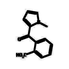 Cn1cccc1C(=O)c1ccccc1C(=O)O